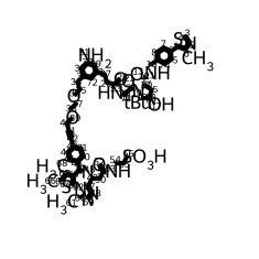 Cc1ncsc1-c1ccc(CNC(=O)[C@@H]2C[C@@H](O)CN2C(=O)[C@@H](NC(=O)CCc2cc(N)cc(CCOCCOCC#Cc3ccc(C4=NC(CC(=O)NCCS(=O)(=O)O)c5nnc(C)n5-c5sc(C)c(C)c54)cc3)c2)C(C)(C)C)cc1